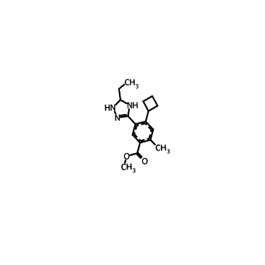 CCC1NN=C(c2cc(C(=O)OC)c(C)cc2C2CCC2)N1